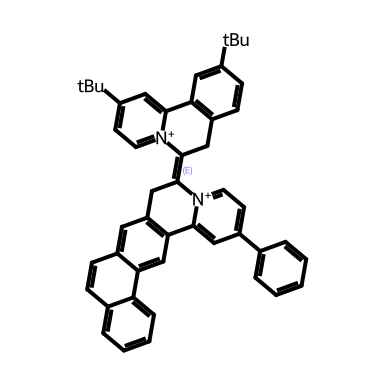 CC(C)(C)c1ccc2c(c1)-c1cc(C(C)(C)C)cc[n+]1/C(=C1\Cc3cc4ccc5ccccc5c4cc3-c3cc(-c4ccccc4)cc[n+]31)C2